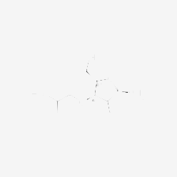 B[C@@H]1O[C@H](CO)[C@H](OCC(C)C)C1O